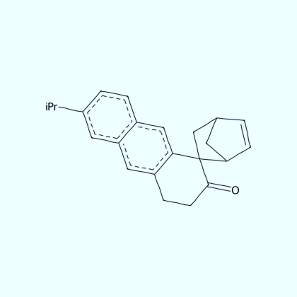 CC(C)c1ccc2cc3c(cc2c1)CCC(=O)C31CC2C=CC1C2